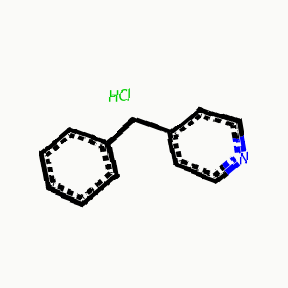 Cl.c1ccc(Cc2ccncc2)cc1